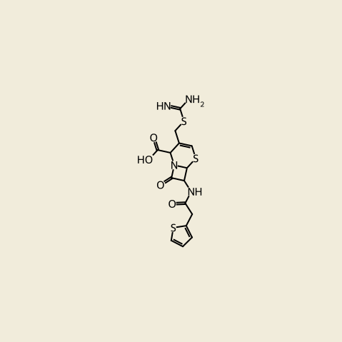 N=C(N)SCC1=CSC2C(NC(=O)Cc3cccs3)C(=O)N2C1C(=O)O